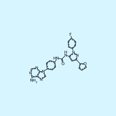 Nc1ncnc2c1ncn2-c1ccc(NC(=O)Nc2cc(-c3ccco3)nn2-c2ccc(F)cc2)cc1